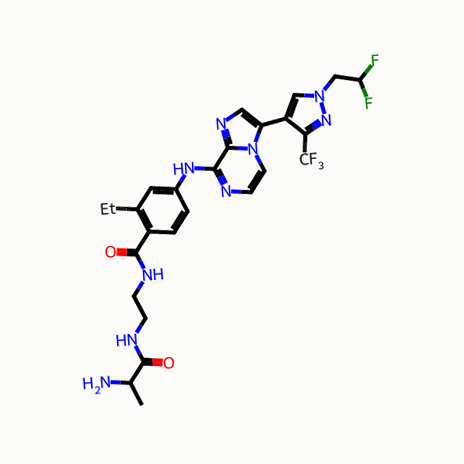 CCc1cc(Nc2nccn3c(-c4cn(CC(F)F)nc4C(F)(F)F)cnc23)ccc1C(=O)NCCNC(=O)C(C)N